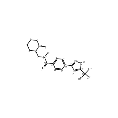 CN(CC1CCCCN1C)C(=O)c1ccc(-c2noc(C(F)(F)F)n2)cc1